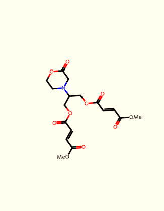 COC(=O)/C=C/C(=O)OCC(COC(=O)/C=C/C(=O)OC)N1CCOC(=O)C1